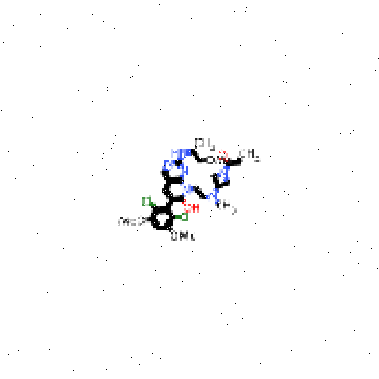 C=CC(=O)N1CC(N(C)CCN2c3nc(N[C@@H](C)COC)ncc3C=C(c3c(Cl)c(OC)cc(OC)c3Cl)C2O)C1